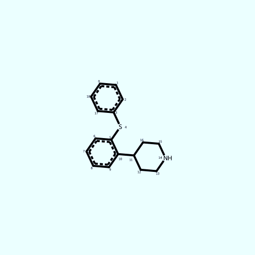 c1ccc(Sc2ccccc2C2CCNCC2)cc1